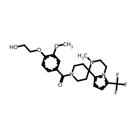 COc1cc(C(=O)N2CCC3(CC2)c2ccc(C(F)(F)F)n2CCN3C)ccc1OCCO